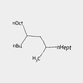 CCCCCCCCC(CCCC)CC(C)CCCCCCC